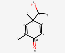 CC1=CC(C)(C(C)O)C=CC1=O